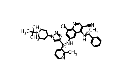 Cc1ncccc1[C@H](Nc1cc(Cl)c2ncc(C#N)c(N[C@H](C)c3ccccc3)c2c1)c1cn(C2CCN(C(C)(C)C)CC2)nn1